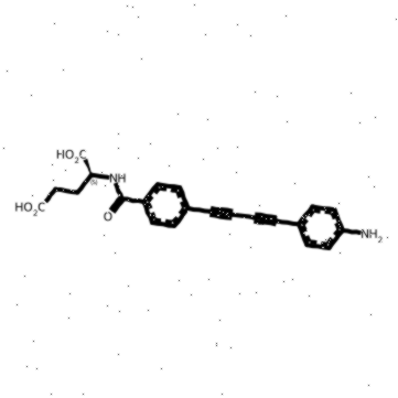 Nc1ccc(C#CC#Cc2ccc(C(=O)N[C@@H](CCC(=O)O)C(=O)O)cc2)cc1